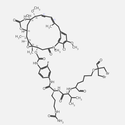 COc1cc2cc(c1Cl)N(C)C(=O)C[C@H](OC(=O)Nc1ccc(NC(=O)[C@H](CCCNC(N)=O)NC(=O)[C@@H](NC(C=O)CCCCOC(C=O)(CBr)CBr)C(C)C)cc1F)[C@]1(C)O[C@H]1[C@H](C)[C@@H]1C[C@@](O)(NC(=O)O1)[C@H](OC)/C=C/C=C(\C)C2